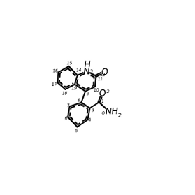 NC(=O)c1ccccc1-c1cc(=O)[nH]c2ccccc12